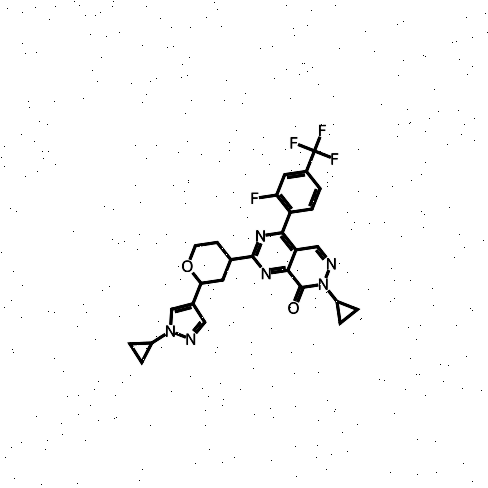 O=c1c2nc(C3CCOC(c4cnn(C5CC5)c4)C3)nc(-c3ccc(C(F)(F)F)cc3F)c2cnn1C1CC1